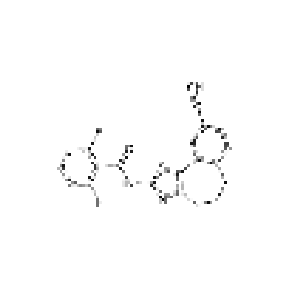 C#Cc1ccc2c(c1)-c1sc(NC(=O)c3c(F)cccc3F)nc1CCC2